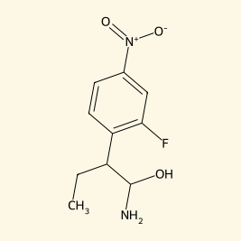 CCC(c1ccc([N+](=O)[O-])cc1F)C(N)O